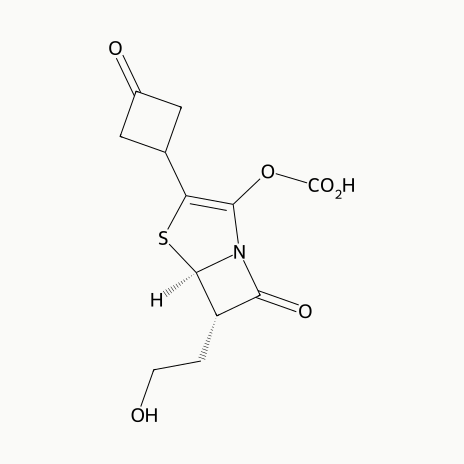 O=C1CC(C2=C(OC(=O)O)N3C(=O)[C@H](CCO)[C@H]3S2)C1